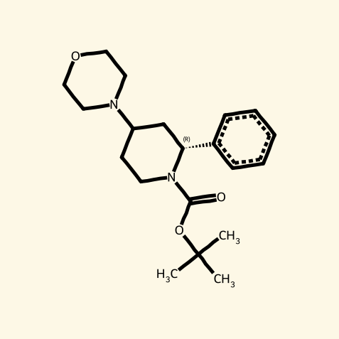 CC(C)(C)OC(=O)N1CCC(N2CCOCC2)C[C@@H]1c1ccccc1